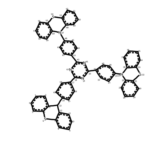 c1ccc2c(c1)Sc1ccccc1C2c1ccc(-c2nc(-c3ccc(N4c5ccccc5Sc5ccccc54)cc3)nc(-c3ccc(N4c5ccccc5Sc5ccccc54)cc3)n2)cc1